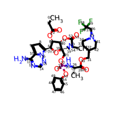 CCC(=O)O[C@H]1[C@H](c2ccc3c(N)ncnn23)O[C@](C#N)(COP(=O)(N[C@@H](C)C(=O)OCC2CCN(CC(F)(F)F)CC2)Oc2ccccc2)[C@H]1OC(=O)CC